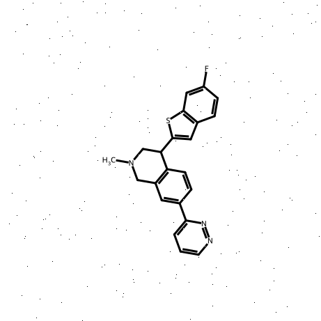 CN1Cc2cc(-c3cccnn3)ccc2C(c2cc3ccc(F)cc3s2)C1